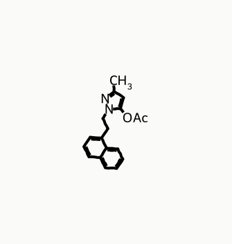 CC(=O)Oc1cc(C)nn1CCc1cccc2ccccc12